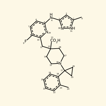 Cc1cc(Nc2ccc(F)c(CC3(C(=O)O)CCN(C4(c5ccccc5C)CC4)CC3)n2)n[nH]1